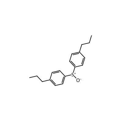 CCCc1ccc([S+]([O-])c2ccc(CCC)cc2)cc1